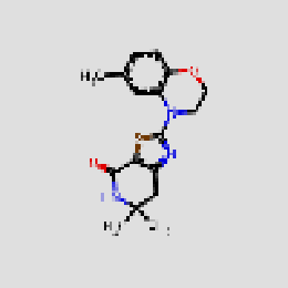 Cc1ccc2c(c1)N(c1nc3c(s1)C(=O)NC(C)(C)C3)CCO2